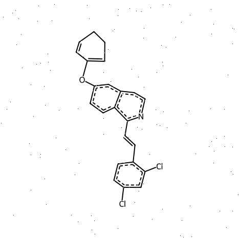 Clc1ccc(C=Cc2nccc3cc(OC4=CCCC=C4)ccc23)c(Cl)c1